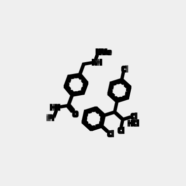 CNNCc1ccc(C(=O)NC(C)C)cc1.Cl.Clc1ccc(C(c2ccccc2Cl)C(Cl)Cl)cc1